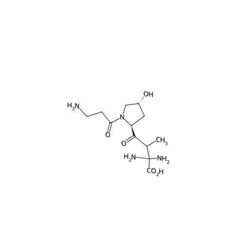 CC(C(=O)[C@@H]1C[C@@H](O)CN1C(=O)CCN)C(N)(N)C(=O)O